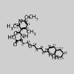 COc1cc(C)c(C(=O)N[C@@H](CCOCCCCc2ccc3c(n2)NCCC3)C(=O)O)c(C)n1